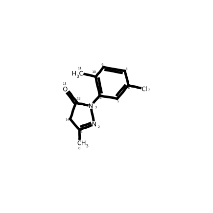 CC1=NN(c2cc(Cl)ccc2C)C(=O)C1